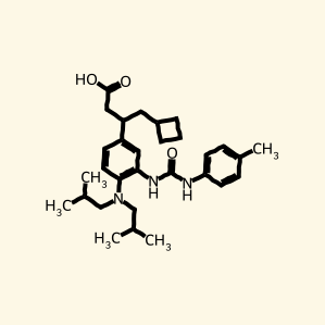 Cc1ccc(NC(=O)Nc2cc(C(CC(=O)O)CC3CCC3)ccc2N(CC(C)C)CC(C)C)cc1